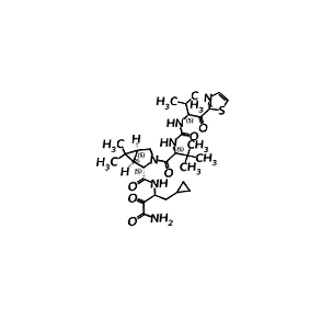 CC(C)[C@H](NC(=O)N[C@H](C(=O)N1C[C@H]2[C@@H]([C@H]1C(=O)NC(CC1CC1)C(=O)C(N)=O)C2(C)C)C(C)(C)C)C(=O)c1nccs1